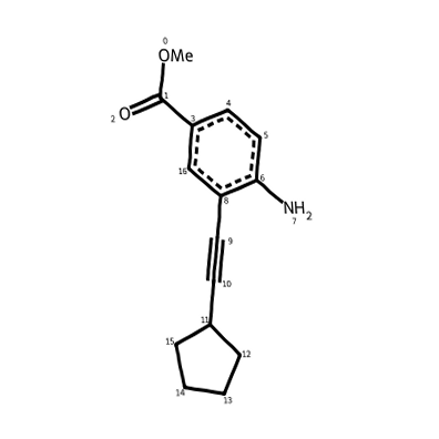 COC(=O)c1ccc(N)c(C#CC2CCCC2)c1